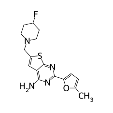 Cc1ccc(-c2nc(N)c3cc(CN4CCC(F)CC4)sc3n2)o1